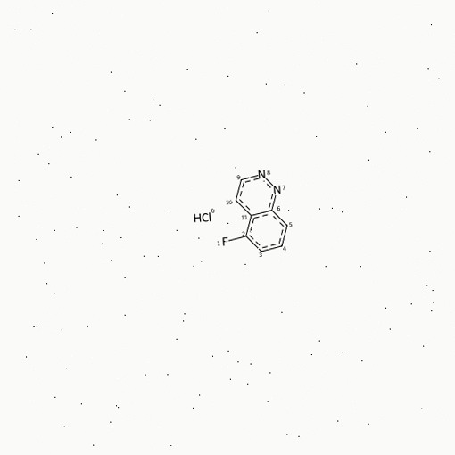 Cl.Fc1cccc2nnccc12